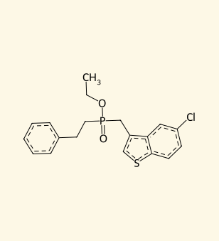 CCOP(=O)(CCc1ccccc1)Cc1csc2ccc(Cl)cc12